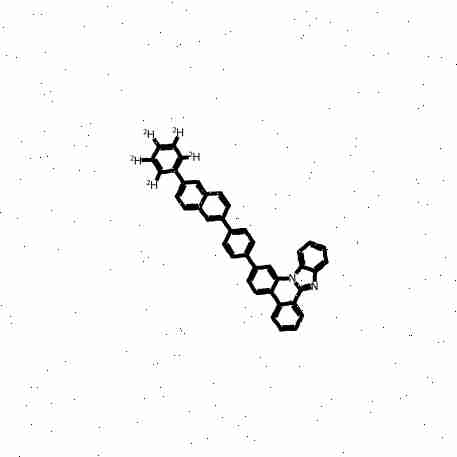 [2H]c1c([2H])c([2H])c(-c2ccc3cc(-c4ccc(-c5ccc6c7ccccc7c7nc8ccccc8n7c6c5)cc4)ccc3c2)c([2H])c1[2H]